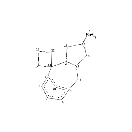 NC1CC2Cc3cccc(c3)C3(CCC3)C2C1